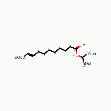 CCCCCCCCC=CCCCCCCCC(=O)OC(CCCCCCCC)CCCCCCCCC